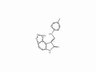 Cc1ccc(N/C=C2/C(=O)Nc3ccc4nn[nH]c4c32)cc1